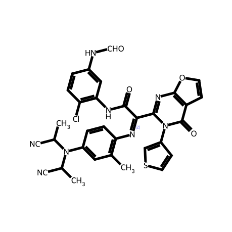 Cc1cc(N(C(C)C#N)C(C)C#N)ccc1/N=C(\C(=O)Nc1cc(NC=O)ccc1Cl)c1nc2occc2c(=O)n1-c1ccsc1